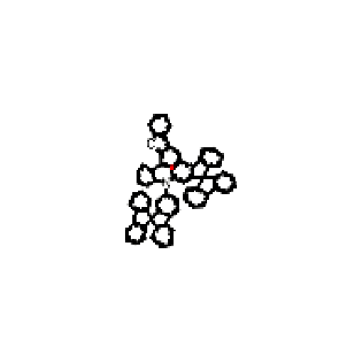 c1ccc(N(c2ccc3c(c2)C2(c4ccccc4-c4ccccc42)c2ccccc2-3)c2ccc3c(c2)C2(c4ccccc4-c4ccccc42)c2ccccc2-3)c(-c2cccc3c2oc2ccccc23)c1